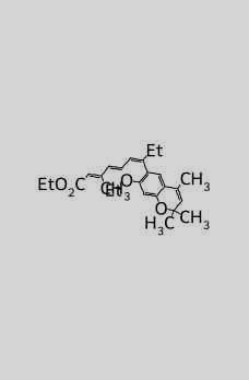 CCOC(=O)/C=C(C)/C=C/C=C(/CC)c1cc2c(cc1OCC)OC(C)(C)C=C2C